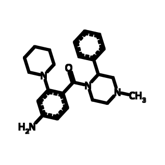 CN1CCN(C(=O)c2ccc(N)cc2N2CCCCC2)C(c2ccccc2)C1